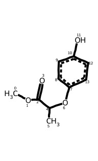 COC(=O)C(C)Oc1ccc(O)cc1